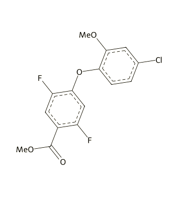 COC(=O)c1cc(F)c(Oc2ccc(Cl)cc2OC)cc1F